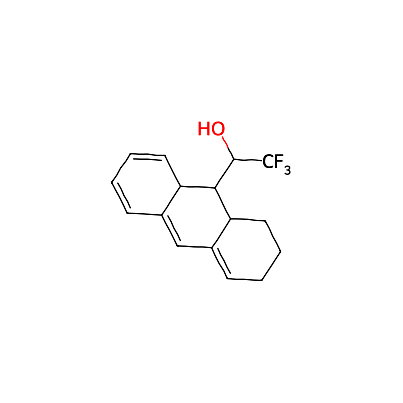 OC(C1C2C=CC=CC2=CC2=CCCCC21)C(F)(F)F